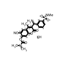 CNS(=O)(=O)c1cccc(C(N)c2c(C)c3cc(C#N)c(OC(=O)N(C)C)cc3oc2=O)c1.[KH]